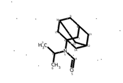 CC(C)N([C]=O)C12CC3CC(CC(C3)C1)C2